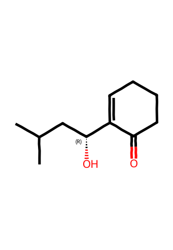 CC(C)C[C@@H](O)C1=CCCCC1=O